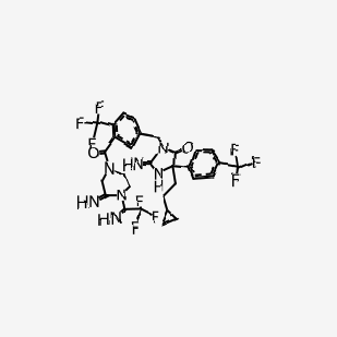 N=C1CN(C(=O)c2cc(CN3C(=N)NC(CCC4CC4)(c4ccc(C(F)(F)F)cc4)C3=O)ccc2C(F)(F)F)CCN1C(=N)C(F)(F)F